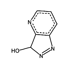 OC1N=Nc2cccnc21